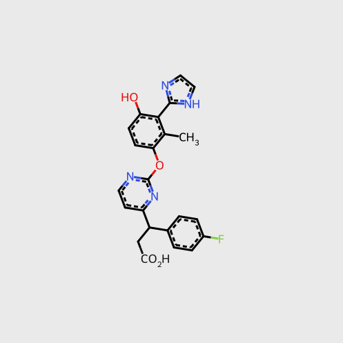 Cc1c(Oc2nccc(C(CC(=O)O)c3ccc(F)cc3)n2)ccc(O)c1-c1ncc[nH]1